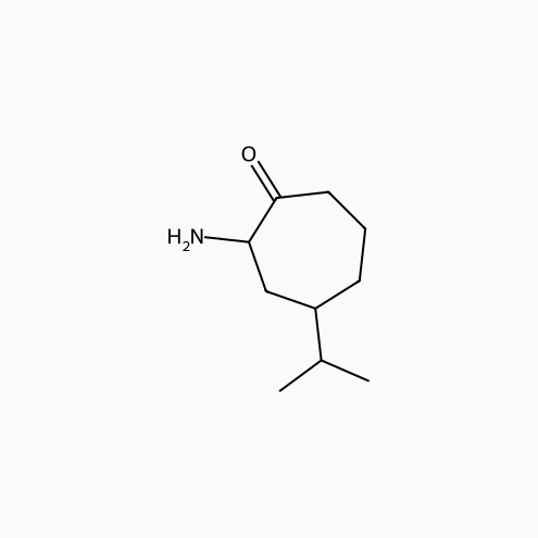 CC(C)C1CCCC(=O)C(N)C1